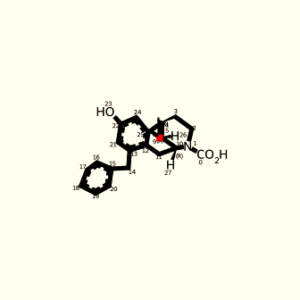 O=C(O)N1CC[C@]23CCCC[C@H]2[C@H]1Cc1c(Cc2ccccc2)cc(O)cc13